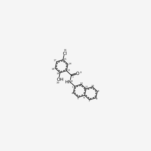 O=C(Nc1ccc2ccccc2c1)c1cc(Cl)ccc1O